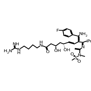 C=C(\N=C(C(/C=C/[C@H](O)C[C@@H](O)CC(=O)NCCCCNC(=N)N)=C(\N)c1ccc(F)cc1)\C(C)C)N(C)S(C)(=O)=O